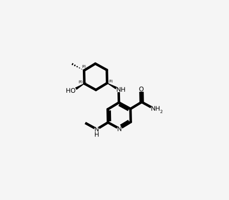 CNc1cc(N[C@@H]2CC[C@@H](C)[C@H](O)C2)c(C(N)=O)cn1